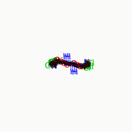 CN1Cc2c(Cl)cc(Cl)cc2C(c2cc3c(c(Cl)c2Cl)SN(CCOCCOCCNC(=O)NCCCCNC(=O)NCCOCCOCCN2Cc4cc(C5CN(C)Cc6c(Cl)cc(Cl)cc65)c(Cl)c(Cl)c4[S+]2[O-])C3)C1